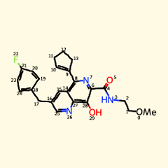 COCCNC(=O)c1nc(C2=CCCC2)c2cc(Cc3ccc(F)cc3)cnc2c1O